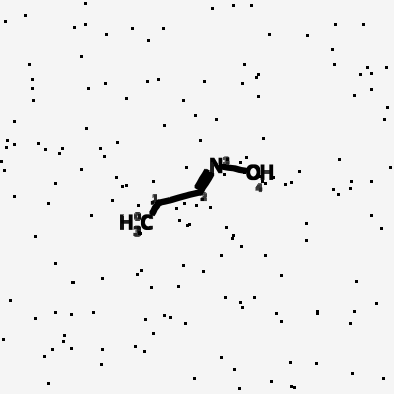 C[CH]C=NO